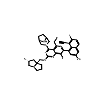 C#Cc1c(F)ccc2cc(O)cc(-c3nc(CF)c4c(N5CC6CCC(C5)N6)nc(OC[C@@]56CCCN5C[C@H](F)C6)nc4c3F)c12